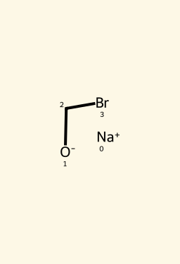 [Na+].[O-]CBr